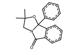 CC1(C)CN2C(=O)c3ccccc3C2(c2ccccc2)O1